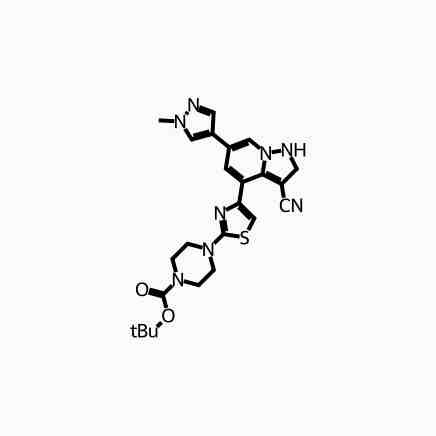 Cn1cc(C2=CN3NCC(C#N)=C3C(c3csc(N4CCN(C(=O)OC(C)(C)C)CC4)n3)=C2)cn1